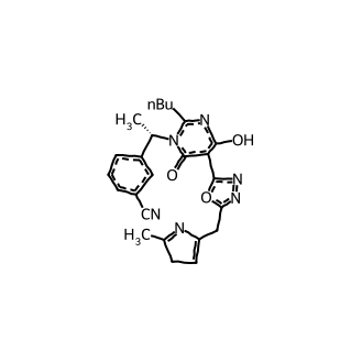 CCCCc1nc(O)c(-c2nnc(CC3=CCC(C)=N3)o2)c(=O)n1[C@@H](C)c1cccc(C#N)c1